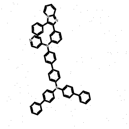 c1ccc(-c2ccc(N(c3ccc(-c4ccccc4)cc3)c3ccc(-c4ccc(N(c5ccncc5)c5cccc(-c6nc7ccccn7c6-c6ccccc6)c5)cc4)cc3)cc2)cc1